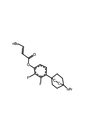 CCCCC=CC(=O)Oc1ccc(C23CCC(CCC)(CC2)CC3)c(F)c1F